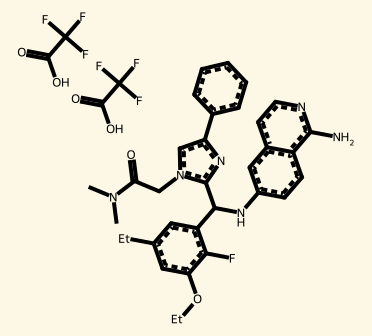 CCOc1cc(CC)cc(C(Nc2ccc3c(N)nccc3c2)c2nc(-c3ccccc3)cn2CC(=O)N(C)C)c1F.O=C(O)C(F)(F)F.O=C(O)C(F)(F)F